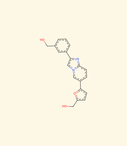 OCc1cccc(-c2cn3cc(-c4ccc(CO)o4)ccc3n2)c1